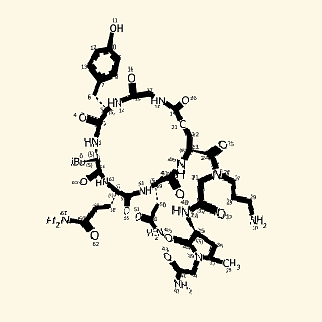 CC[C@H](C)[C@@H]1NC(=O)[C@H](Cc2ccc(O)cc2)NC(=O)CNC(=O)CC[C@@H](C(=O)N(CCCN)CC(=O)N[C@H]2CC(C)N(CC(N)=O)C2=O)NC(=O)[C@H](CC(N)=O)NC(=O)[C@H](CCC(N)=O)NC1=O